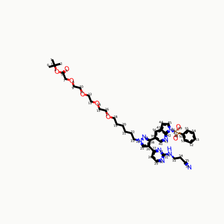 CC(C)(C)OC(=O)COCCOCCOCCOCCCCCCn1cc(-c2ccnc(NCCC#N)n2)c(-c2cnc3c(ccn3S(=O)(=O)c3ccccc3)c2)n1